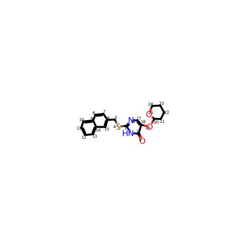 O=c1[nH]c(SCc2ccc3ccccc3c2)ncc1OC1CCCCO1